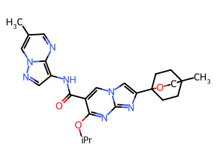 Cc1cnc2c(NC(=O)c3cn4cc(C56CCC(C)(CC5)CO6)nc4nc3OC(C)C)cnn2c1